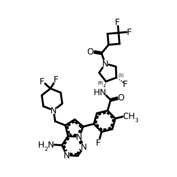 Cc1cc(F)c(-c2cc(CN3CCC(F)(F)CC3)c3c(N)ncnn23)cc1C(=O)N[C@@H]1CN(C(=O)C2CC(F)(F)C2)C[C@@H]1F